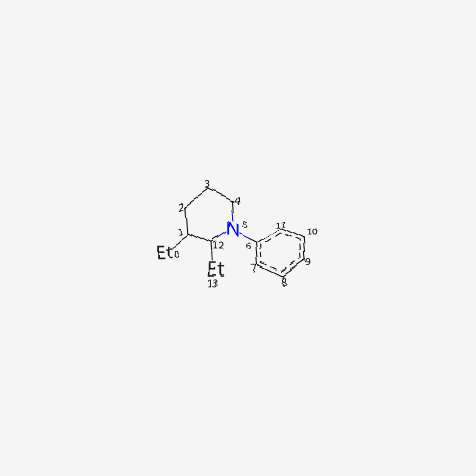 CCC1CCCN(c2ccccc2)C1CC